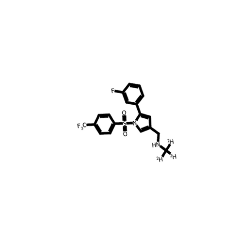 [2H]C([2H])([2H])NCc1cc(-c2cccc(F)c2)n(S(=O)(=O)c2ccc(C(F)(F)F)cc2)c1